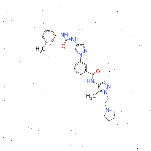 Cc1cccc(NC(=O)Nc2cnn(-c3cccc(C(=O)Nc4cnn(CCN5CCCC5)c4C)c3)c2)c1